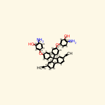 C#Cc1ccc2c(c1)C(c1ccc(Oc3ccc(N)c(O)c3)cc1)(c1ccc(Oc3ccc(N)c(O)c3)cc1)c1cc(C#C)ccc1-2